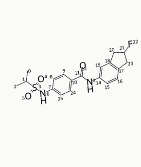 CC(C)S(=O)(=O)Nc1ccc(C(=O)Nc2ccc3c(c2)CC(F)C3)cc1